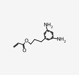 C=CC(=O)OCCCc1cc(N)cc(N)c1